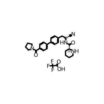 N#C[C@H](Cc1ccc(-c2ccc(C(=O)N3CCCC3)cc2)cc1)NC(=O)[C@@H]1CCCCN1.O=C(O)C(F)(F)F